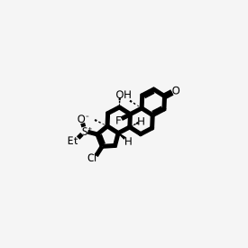 CC[S+]([O-])C1=C(Cl)C[C@H]2[C@@H]3CCC4=CC(=O)C=C[C@]4(C)C3(F)[C@@H](O)C[C@]12C